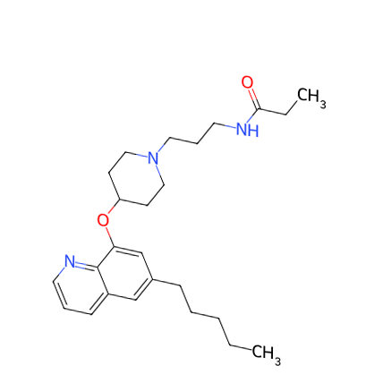 CCCCCc1cc(OC2CCN(CCCNC(=O)CC)CC2)c2ncccc2c1